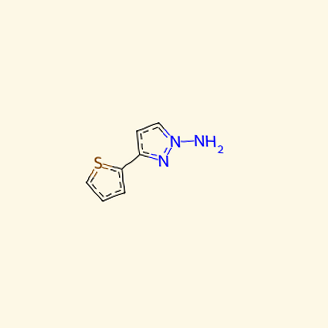 Nn1ccc(-c2cccs2)n1